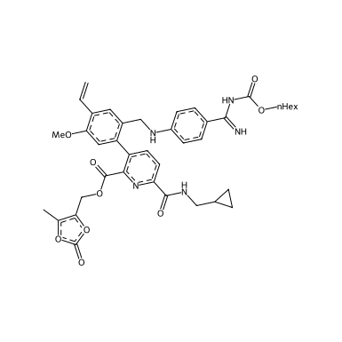 C=Cc1cc(CNc2ccc(C(=N)NC(=O)OCCCCCC)cc2)c(-c2ccc(C(=O)NCC3CC3)nc2C(=O)OCc2oc(=O)oc2C)cc1OC